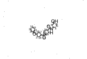 O=C(Nc1cccc(O)c1)C1CCN(C(=O)c2ccc(Oc3ccccc3)cc2)CC1